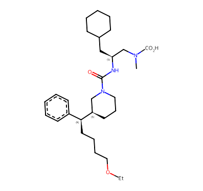 CCOCCCC[C@@H](c1ccccc1)[C@@H]1CCCN(C(=O)N[C@@H](CC2CCCCC2)CN(C)C(=O)O)C1